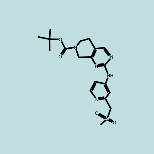 CC(C)(C)OC(=O)N1CCc2cnc(Nc3ccnc(CS(C)(=O)=O)c3)nc2C1